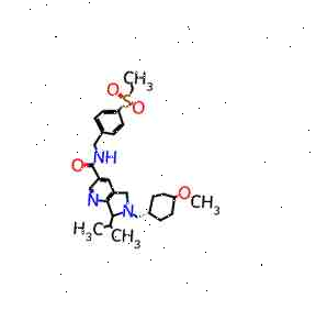 CCS(=O)(=O)c1ccc(CNC(=O)c2cnc3c(c2)CN(C[C@H]2CC[C@H](OC)CC2)C3C(C)C)cc1